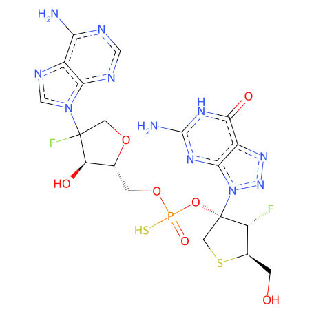 Nc1nc2c(nnn2[C@]2(OP(=O)(S)OC[C@H]3OCC(F)(n4cnc5c(N)ncnc54)[C@@H]3O)CS[C@H](CO)[C@H]2F)c(=O)[nH]1